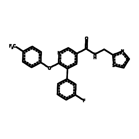 O=C(NCc1nccs1)c1cnc(Oc2ccc(C(F)(F)F)cc2)c(-c2cccc(F)c2)c1